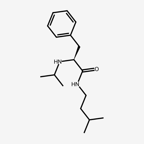 CC(C)CCNC(=O)[C@H](Cc1ccccc1)NC(C)C